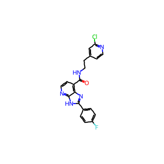 O=C(NCCc1ccnc(Cl)c1)c1ccnc2[nH]c(-c3ccc(F)cc3)nc12